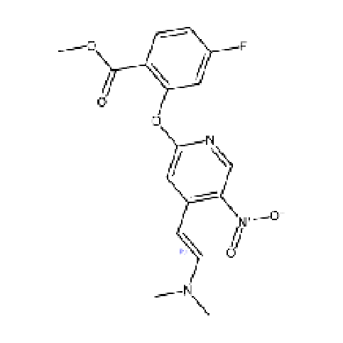 COC(=O)c1ccc(F)cc1Oc1cc(/C=C/N(C)C)c([N+](=O)[O-])cn1